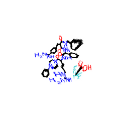 N=C(N)NCCCC(NC(=O)[C@@H](NC(=O)C(Cc1ccc(C(=N)N)cc1)C(=O)NCc1ccccc1)C1CCCCC1)C(=O)N1CCN(c2ccccc2)CC1.O=C(O)C(F)(F)F